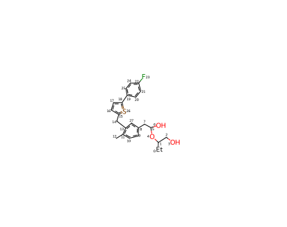 CCC(CO)OC(O)Cc1ccc(C)c(Cc2ccc(-c3ccc(F)cc3)s2)c1